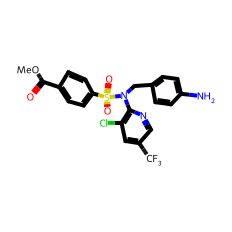 COC(=O)c1ccc(S(=O)(=O)N(Cc2ccc(N)cc2)c2ncc(C(F)(F)F)cc2Cl)cc1